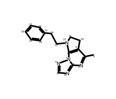 Cc1nc2ncnn2c2c1CCN2CCc1ccccc1